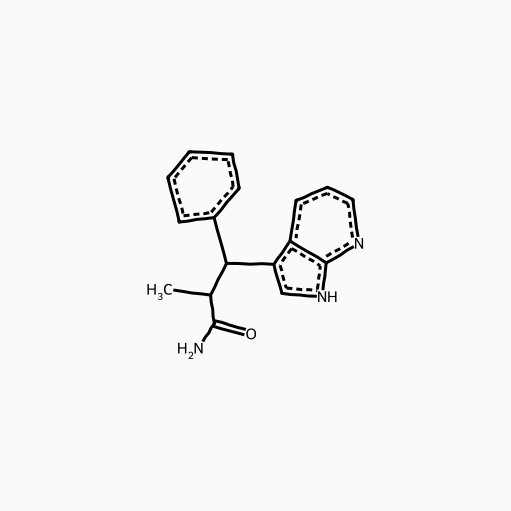 CC(C(N)=O)C(c1ccccc1)c1c[nH]c2ncccc12